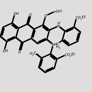 CCCCCCCCOc1c(Nc2c(C)cccc2C(=O)OCC)c(Nc2c(C)cccc2C(=O)OCC)cc2c1C(=O)c1c(O)ccc(O)c1C2=O